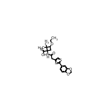 CCOC1CC(NC(=O)Cc2csc(-c3ccc4c(c3)OCO4)n2)(C(=O)O)C1(C)C